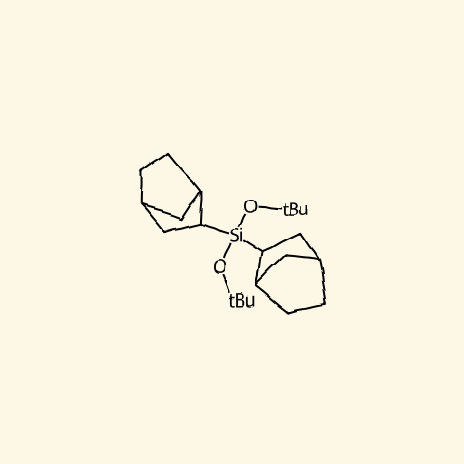 CC(C)(C)O[Si](OC(C)(C)C)(C1CC2CCC1C2)C1CC2CCC1C2